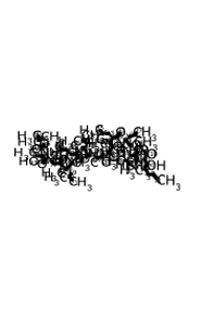 CC=CC[C@@H](C)[C@@H](O)[C@@H](C(=O)O)N(C)C(=O)[C@H](C(C)C)N(C)C(=O)[C@H](CC(C)C)NC(=O)[C@H](CC(C)C)N(C)C(=O)[C@@H](C)NC(=O)[C@H](C)NC(=O)[C@H](CC(C)C)N(C)C(=O)[C@H](CC(C)C)NC(=O)[C@H](CC(C)C)N(C)C(=O)CN(C)C(=O)[C@@H](NC(=O)OC(C)(C)C)[C@@H](C)O